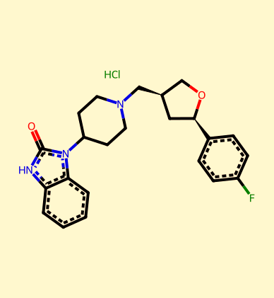 Cl.O=c1[nH]c2ccccc2n1C1CCN(C[C@H]2CO[C@@H](c3ccc(F)cc3)C2)CC1